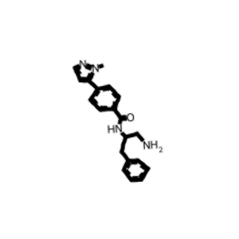 Cn1nccc1-c1ccc(C(=O)NC(CN)Cc2ccccc2)cc1